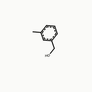 Cc1c[c]cc(CO)c1